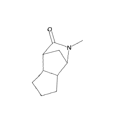 CN1C(=O)C2CC1C1CCCC21